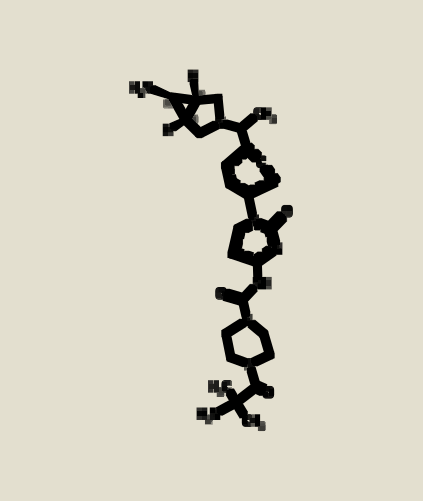 CC(c1ccc(-n2ccc(NC(=O)N3CCN(C(=O)C(C)(C)N)CC3)nc2=O)cc1)N1C[C@@H]2[C@@H](N)[C@@H]2C1